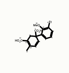 CCc1cccc(C2(C(=O)O)C=CC(C)=C(C(=O)O)C2)c1OC